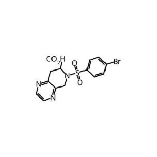 O=C(O)C1Cc2nccnc2CN1S(=O)(=O)c1ccc(Br)cc1